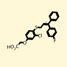 O=C(O)COc1ccc(SC/C=C(/c2ccccc2)c2ccc(F)cc2)c(Cl)c1